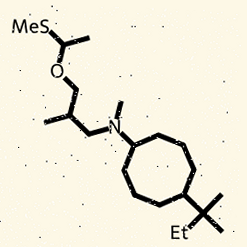 CCC(C)(C)C1CCCC(N(C)CC(C)COC(C)SC)CCC1